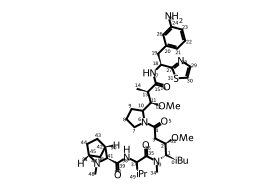 CC[C@H](C)[C@@H]([C@@H](CC(=O)N1CCCC1[C@H](OC)[C@@H](C)C(=O)N[C@@H](Cc1cccc(N)c1)c1nccs1)OC)N(C)C(=O)C(NC(=O)[C@@H]1[C@H]2CC[C@H](C2)N1C)C(C)C